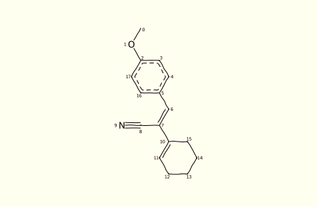 COc1ccc(C=C(C#N)C2=CCCCC2)cc1